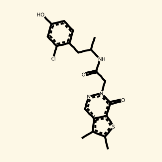 Cc1sc2c(=O)n(CC(=O)NC(C)Cc3ccc(O)cc3Cl)ncc2c1C